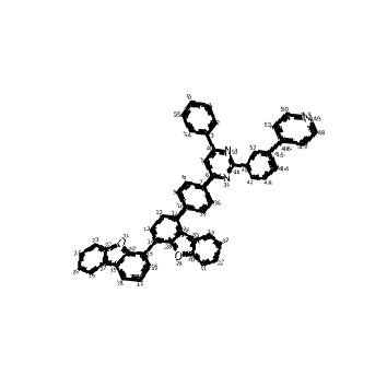 c1ccc(-c2cc(-c3ccc(-c4ccc(-c5cccc6c5oc5ccccc56)c5oc6ccccc6c45)cc3)nc(-c3cccc(-c4ccncc4)c3)n2)cc1